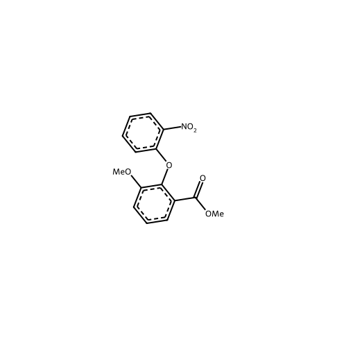 COC(=O)c1cccc(OC)c1Oc1ccccc1[N+](=O)[O-]